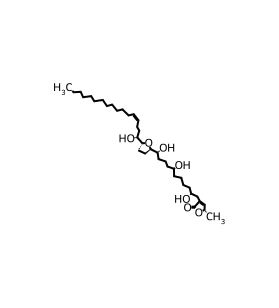 CCCCCCCCCCCC/C=C\CC[C@@H](O)[C@H]1CC[C@H]([C@H](O)CCCC(O)CCCC[C@@H](O)CC2=C[C@H](C)OC2=O)O1